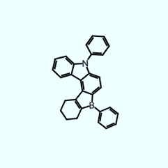 c1ccc(B2C3=C(CCCC3)c3c2ccc2c3c3ccccc3n2-c2ccccc2)cc1